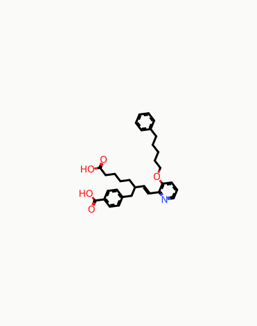 O=C(O)CCCCC(/C=C/c1ncccc1OCCCCCc1ccccc1)Cc1ccc(C(=O)O)cc1